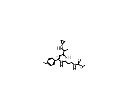 COC(=O)NCCCN/C(=C\C(=N)C(C)NC1CC1)c1ccc(F)cc1